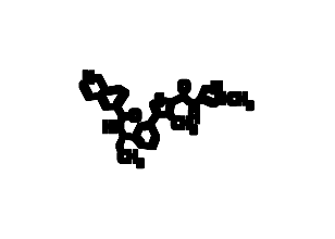 CC[C@@H](NC(=O)c1ccc2cnccc2c1)c1cccc(-c2csc(C(=O)Nc3cnn(C)c3)c2C)c1